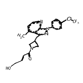 Cc1ccnc2c1c(C1CN(C(=O)/C=C/CO)C1)nn2-c1ccc(OC(F)(F)F)cc1